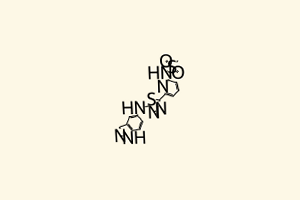 CS(=O)(=O)Nc1cccc(-c2nnc(Nc3ccc4[nH]ncc4c3)s2)n1